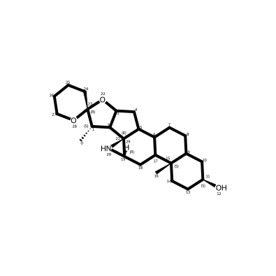 C[C@H]1C2C(CC3C4CCC5C[C@@H](O)CC[C@]5(C)C4C[C@H]4N[C@]324)O[C@]12CCCCO2